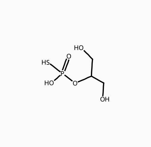 O=P(O)(S)OC(CO)CO